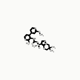 COc1cc(-c2ccnc(C)c2NC(=O)N=[S@](N)(=O)c2cnn3c2OCC(C)(C)C3)ccn1